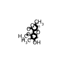 COc1c(C)c(O)cc2oc3cc(C)oc(=O)c3c12